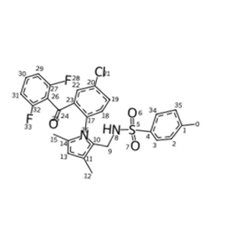 Cc1ccc(S(=O)(=O)NCc2c(C)cc(C)n2-c2ccc(Cl)cc2C(=O)c2c(F)cccc2F)cc1